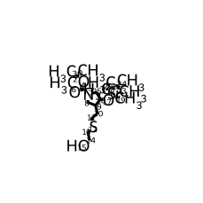 CC(C)(C)OC(=O)N1CC(CCSCCO)C(O[Si](C)(C)C(C)(C)C)C1